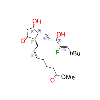 CCCC/C=C(\F)[C@H](O)/C=C/[C@H]1[C@H](O)CC(=O)[C@@H]1C/C=C\CCCC(=O)OC